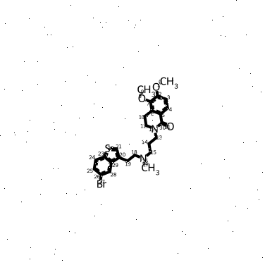 COc1ccc2c(c1OC)CCN(CCCN(C)CCc1csc3ccc(Br)cc13)C2=O